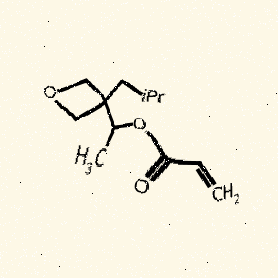 C=CC(=O)OC(C)C1(CC(C)C)COC1